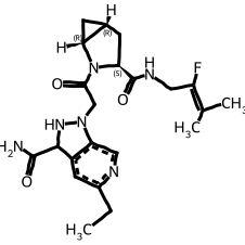 CCc1cc2c(cn1)N(CC(=O)N1[C@@H]3C[C@@H]3C[C@H]1C(=O)NCC(F)=C(C)C)NC2C(N)=O